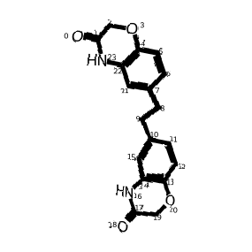 O=C1COc2ccc(CCc3ccc4c(c3)NC(=O)CO4)cc2N1